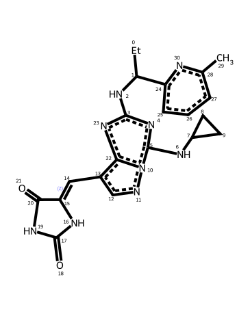 CCC(Nc1nc(NC2CC2)n2ncc(/C=C3\NC(=O)NC3=O)c2n1)c1cccc(C)n1